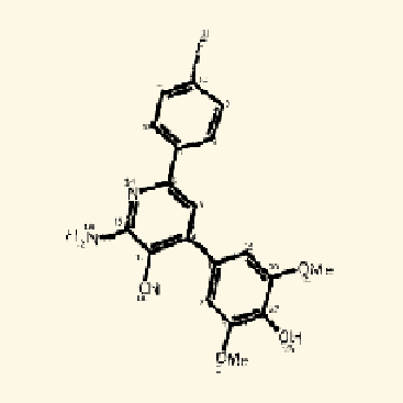 COc1cc(-c2cc(-c3ccc(F)cc3)nc(N)c2C#N)cc(OC)c1O